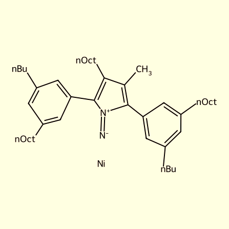 CCCCCCCCC1=C(c2cc(CCCC)cc(CCCCCCCC)c2)[N+](=[N-])C(c2cc(CCCC)cc(CCCCCCCC)c2)=C1C.[Ni]